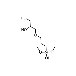 CO[Si](O)(CCCOCC(O)CO)OC